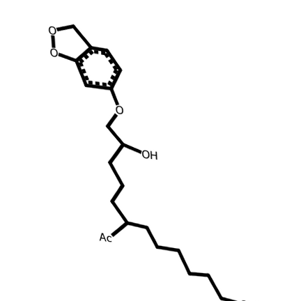 CCOC(=O)CCCCCCC(CCCC(O)COc1ccc2c(c1)OOC2)C(C)=O